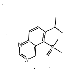 C=P(C)(C)c1c(C(C)C)ccc2ncncc12